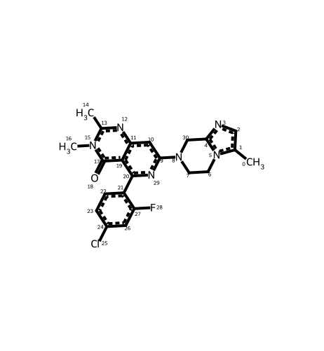 Cc1cnc2n1CCN(c1cc3nc(C)n(C)c(=O)c3c(-c3ccc(Cl)cc3F)n1)C2